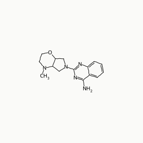 CN1CCOC2CN(c3nc(N)c4ccccc4n3)CC21